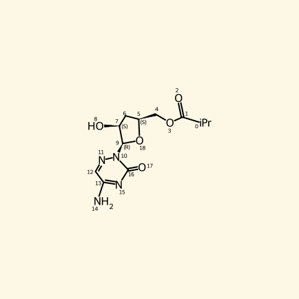 CC(C)C(=O)OC[C@@H]1C[C@H](O)[C@H](n2ncc(N)nc2=O)O1